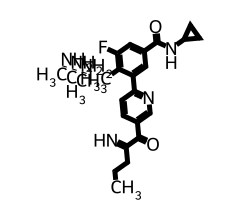 CCCC(=N)C(=O)c1ccc(-c2cc(C(=O)NC3CC3)cc(F)c2C)nc1.CN.CN.CN